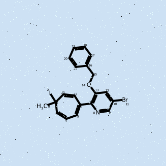 CC1(I)C=CC=C(c2ncc(Br)cc2OCc2ccccc2)C=C1